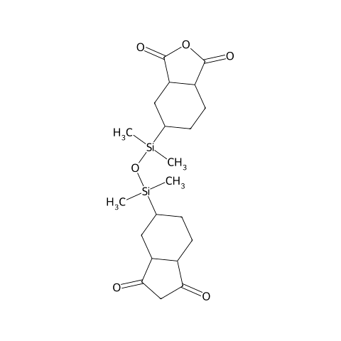 C[Si](C)(O[Si](C)(C)C1CCC2C(=O)OC(=O)C2C1)C1CCC2C(=O)CC(=O)C2C1